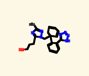 CCCCc1nc(CCCO)n(CC2(c3ccccc3-c3nnn[nH]3)C=CC=CC2)n1